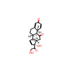 C[C@]12C=CC(=O)C=C1CC[C@@H]1[C@@H]2C(=O)C[C@@]2(C)[C@H]1C=C[C@]2(O)C(=O)CO